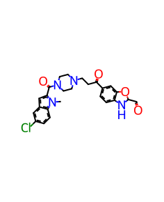 Cn1c(C(=O)N2CCN(CCC(=O)c3ccc4c(c3)OC(C=O)N4)CC2)cc2cc(Cl)ccc21